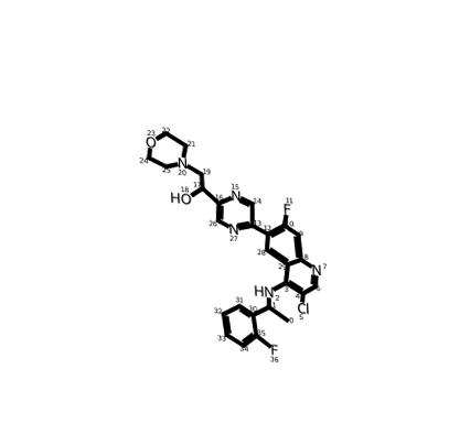 CC(Nc1c(Cl)cnc2cc(F)c(-c3cnc(C(O)CN4CCOCC4)cn3)cc12)c1ccccc1F